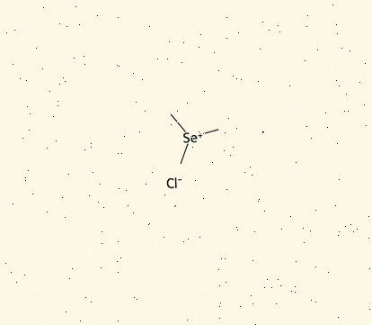 C[Se+](C)C.[Cl-]